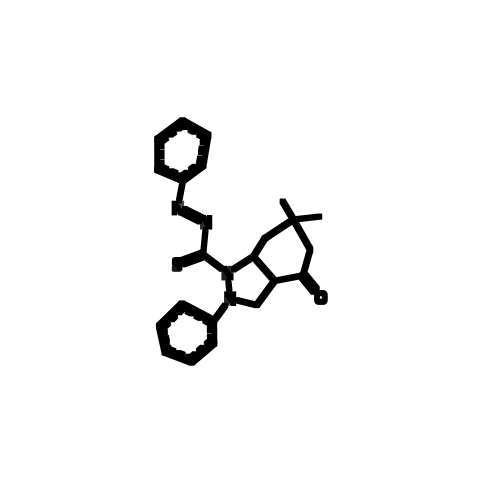 CC1(C)CC(=O)C2CN(c3ccccc3)N(C(=S)N=Nc3ccccc3)C2C1